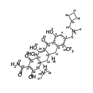 CN(Cc1cc(O)c2c(c1C(F)(F)F)C[C@H]1C[C@H]3[C@H](N(C)C)C(O)=C(C(N)=O)C(=O)[C@@]3(O)C(O)=C1C2=O)CC1CCC1